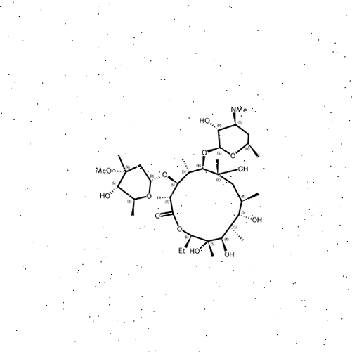 CC[C@H]1OC(=O)[C@H](C)[C@@H](O[C@H]2C[C@@](C)(OC)[C@@H](O)[C@H](C)O2)[C@H](C)[C@@H](O[C@@H]2O[C@H](C)C[C@H](NC)[C@H]2O)[C@](C)(O)C[C@@H](C)[C@H](O)[C@H](C)[C@@H](O)[C@]1(C)O